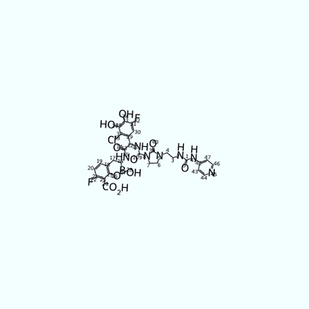 O=C(NCCN1CCN(C(=O)NC(C(=O)N[C@H]2Cc3ccc(F)c(C(=O)O)c3OB2O)c2cc(F)c(O)c(O)c2Cl)C1=O)Nc1ccncc1